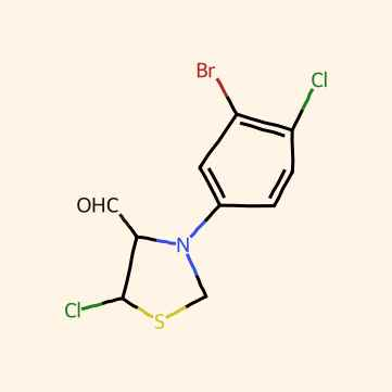 O=CC1C(Cl)SCN1c1ccc(Cl)c(Br)c1